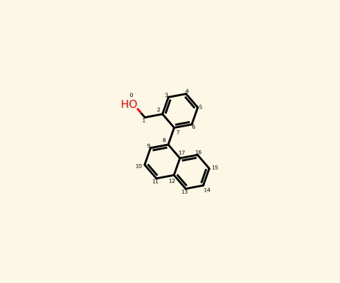 OCc1ccccc1-c1cccc2ccccc12